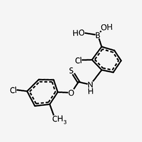 Cc1cc(Cl)ccc1OC(=S)Nc1cccc(B(O)O)c1Cl